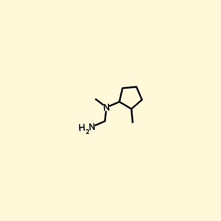 CC1CCCC1N(C)CN